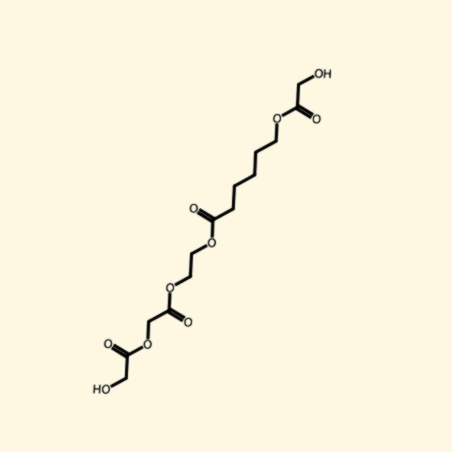 O=C(CO)OCCCCCC(=O)OCCOC(=O)COC(=O)CO